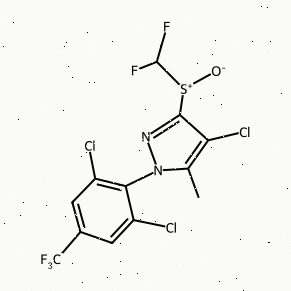 Cc1c(Cl)c([S+]([O-])C(F)F)nn1-c1c(Cl)cc(C(F)(F)F)cc1Cl